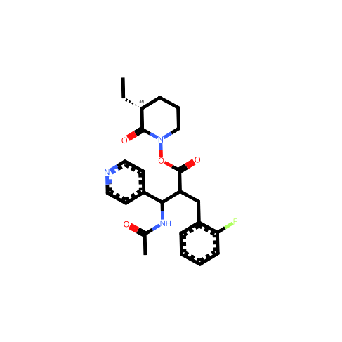 CC[C@@H]1CCCN(OC(=O)C(Cc2ccccc2F)C(NC(C)=O)c2ccncc2)C1=O